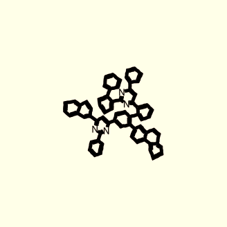 c1ccc(-c2cc(-c3ccccc3-c3ccc(-c4cc(-c5ccc6ccccc6c5)nc(-c5ccccc5)n4)cc3-c3ccc4c(ccc5ccccc54)c3)nc(-c3ccccc3-c3ccccc3)n2)cc1